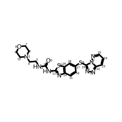 O=C(NCCN1CCOCC1)Nc1nc2ccc(Sc3nnc4cccnn34)cc2s1